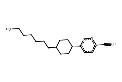 C#Cc1ccc([C@H]2CC[C@H](CCCCCCC)CC2)nn1